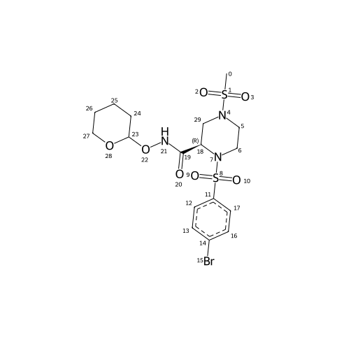 CS(=O)(=O)N1CCN(S(=O)(=O)c2ccc(Br)cc2)[C@@H](C(=O)NOC2CCCCO2)C1